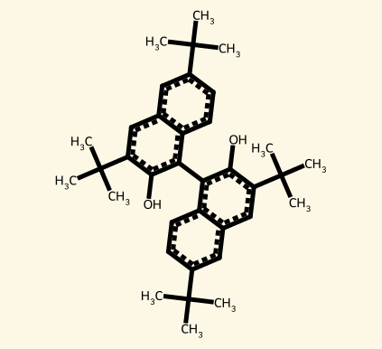 CC(C)(C)c1ccc2c(-c3c(O)c(C(C)(C)C)cc4cc(C(C)(C)C)ccc34)c(O)c(C(C)(C)C)cc2c1